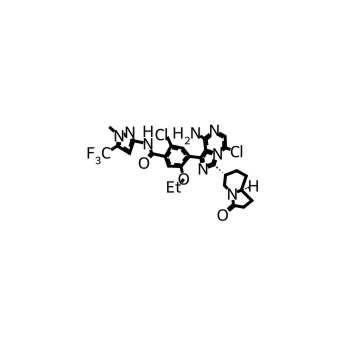 CCOc1cc(C(=O)Nc2cc(C(F)(F)F)n(C)n2)c(Cl)cc1-c1nc([C@@H]2CC[C@H]3CCC(=O)N3C2)n2c(Cl)cnc(N)c12